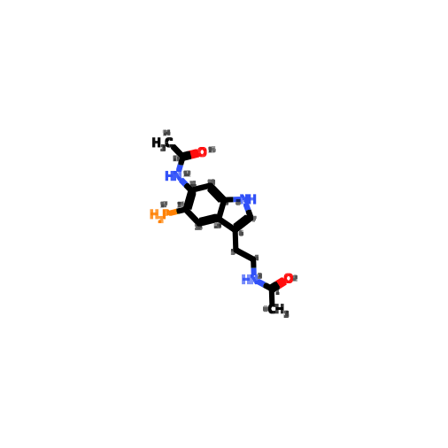 CC(=O)NCCc1c[nH]c2cc(NC(C)=O)c(P)cc12